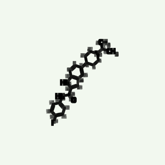 CC(C)N1CCC(c2ccc3[nH]c(C(=O)Nc4ccc(F)cc4)cc3c2)CC1